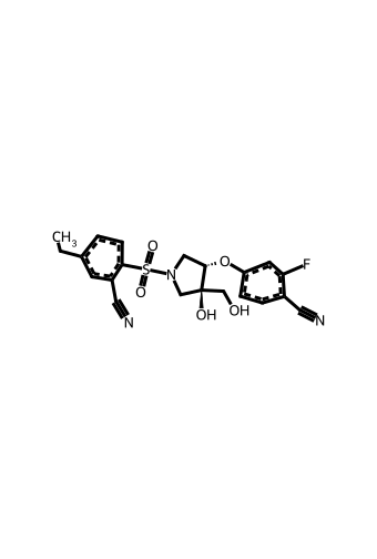 CCc1ccc(S(=O)(=O)N2C[C@H](Oc3ccc(C#N)c(F)c3)[C@](O)(CO)C2)c(C#N)c1